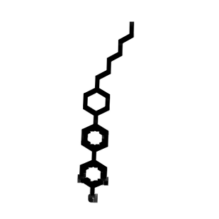 CCCCCCCC1CCC(c2ccc(-c3cnc(Cl)nc3)cc2)CC1